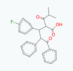 CC(C)C(=O)C(C(=O)O)C(c1ccc(F)cc1)C(C(=O)c1ccccc1)c1ccccc1